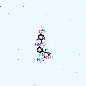 Cc1cc(OC(F)F)cnc1C(=O)Nc1ccc(F)c([C@@]2(C(F)F)N=C(N)O[C@@H]3CC32)c1